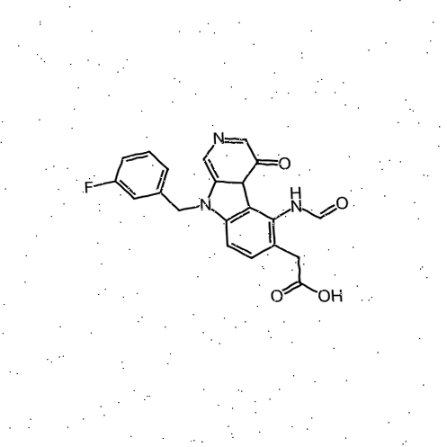 O=CNc1c(CC(=O)O)ccc2c1C1C(=O)C=NC=C1N2Cc1cccc(F)c1